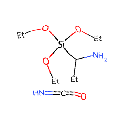 CCO[Si](OCC)(OCC)C(N)CC.N=C=O